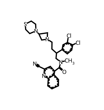 CN(CC(CCN1CC(N2CCSCC2)C1)c1ccc(Cl)c(Cl)c1)C(=O)c1cc(C#N)nc2ccccc12